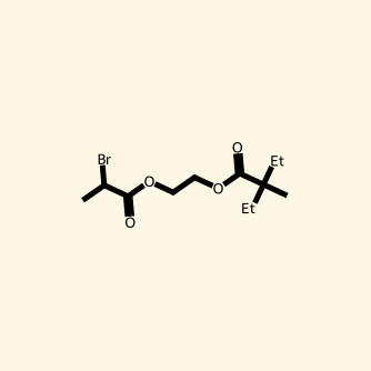 CCC(C)(CC)C(=O)OCCOC(=O)C(C)Br